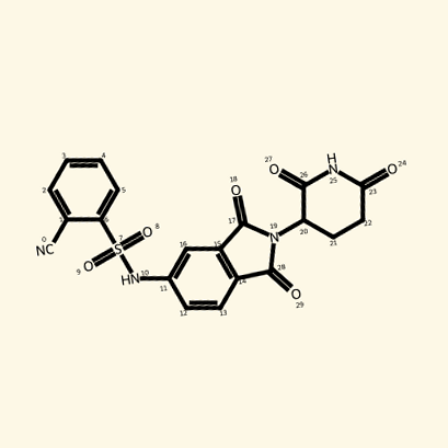 N#Cc1ccccc1S(=O)(=O)Nc1ccc2c(c1)C(=O)N(C1CCC(=O)NC1=O)C2=O